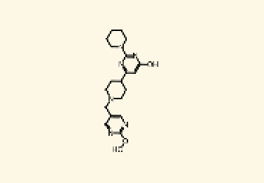 OOc1ncc(CN2CCC(c3cc(O)nc(N4CCCCC4)n3)CC2)cn1